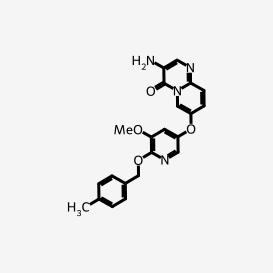 COc1cc(Oc2ccc3ncc(N)c(=O)n3c2)cnc1OCc1ccc(C)cc1